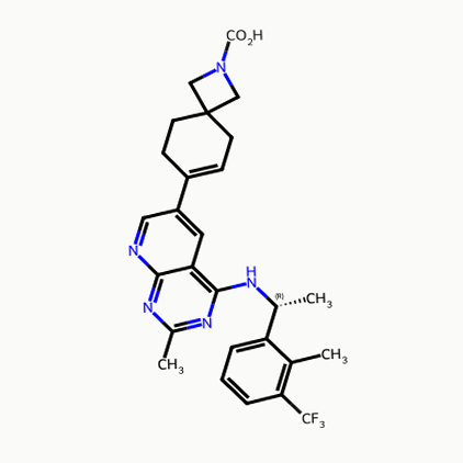 Cc1nc(N[C@H](C)c2cccc(C(F)(F)F)c2C)c2cc(C3=CCC4(CC3)CN(C(=O)O)C4)cnc2n1